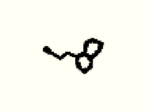 C#C[CH]Cc1cccc2ccccc12